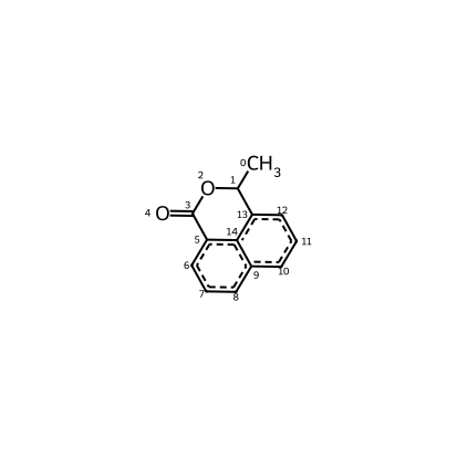 CC1OC(=O)c2cccc3cccc1c23